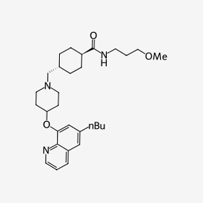 CCCCc1cc(OC2CCN(C[C@H]3CC[C@H](C(=O)NCCCOC)CC3)CC2)c2ncccc2c1